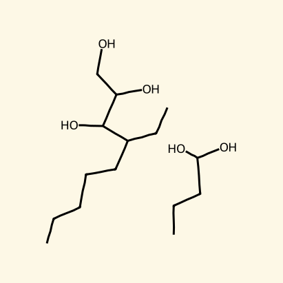 CCCC(O)O.CCCCCC(CC)C(O)C(O)CO